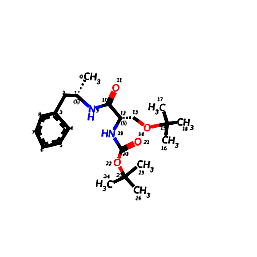 C[C@@H](Cc1ccccc1)NC(=O)[C@H](COC(C)(C)C)NC(=O)OC(C)(C)C